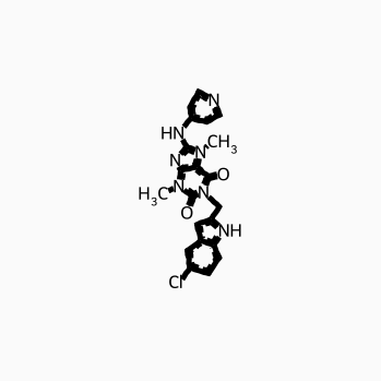 Cn1c(Nc2ccncc2)nc2c1c(=O)n(Cc1cc3cc(Cl)ccc3[nH]1)c(=O)n2C